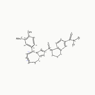 CCN(CC)C(=O)c1ccc2c(c1)CCCN2C(=O)c1cc2n(n1)/C(c1ccc(OC)c(OC)c1)=C\C=C/CC2